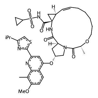 COc1ccc2c(O[C@@H]3C[C@H]4C(=O)N[C@]5(C(=O)NS(=O)(=O)C6CC6)C[C@H]5/C=C\CCCCCO[C@H](C)C(=O)N4C3)cc(-c3nc(C(C)C)cs3)nc2c1C